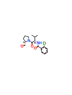 CC(C)[C@H](NC(=O)c1ccccc1Cl)C(=O)N1CCC[C@H]1C=O